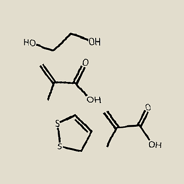 C1=CSSC1.C=C(C)C(=O)O.C=C(C)C(=O)O.OCCO